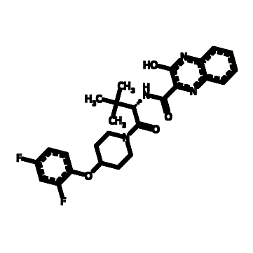 CC(C)(C)[C@H](NC(=O)c1nc2ccccc2nc1O)C(=O)N1CCC(Oc2ccc(F)cc2F)CC1